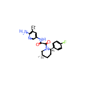 CCc1cc(NC(=O)C(=O)N2C[C@@H](C)CC[C@@H]2c2ccc(F)cc2)cnc1N